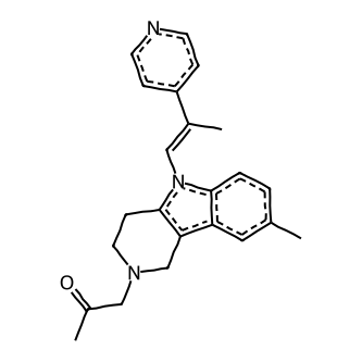 CC(=O)CN1CCc2c(c3cc(C)ccc3n2/C=C(\C)c2ccncc2)C1